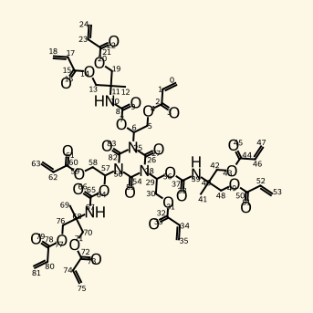 C=CC(=O)OCC(OC(=O)NC(C)(COC(=O)C=C)COC(=O)C=C)n1c(=O)n(C(COC(=O)C=C)OC(=O)NC(C)(COC(=O)C=C)COC(=O)C=C)c(=O)n(C(COC(=O)C=C)OC(=O)NC(C)(COC(=O)C=C)COC(=O)C=C)c1=O